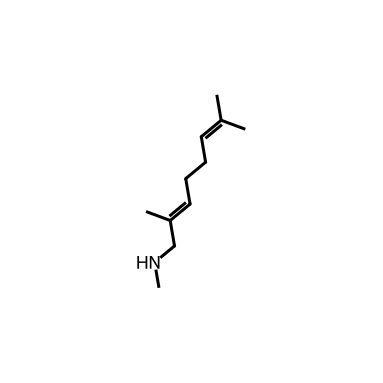 CNC/C(C)=C/CCC=C(C)C